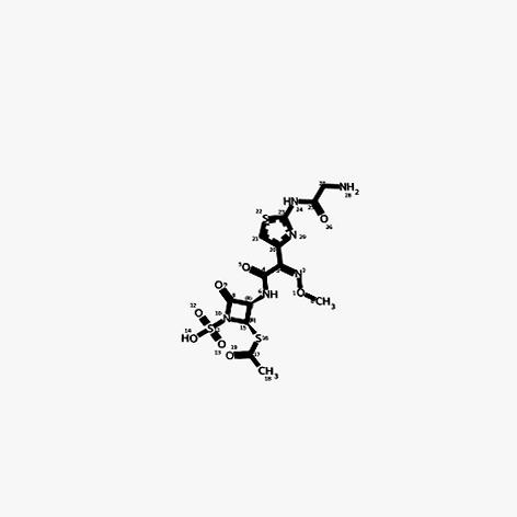 CON=C(C(=O)N[C@@H]1C(=O)N(S(=O)(=O)O)[C@@H]1SC(C)=O)c1csc(NC(=O)CN)n1